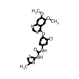 COc1cc2ncnc(Oc3ccc(NC(=O)Nc4nc(C)cs4)cc3Cl)c2cc1OC